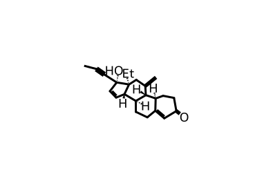 C=C1C[C@@]2(CC)[C@@H](C=C[C@@]2(O)C#CC)[C@@H]2CCC3=CC(=O)CC[C@@H]3[C@@H]12